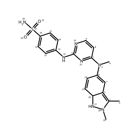 CC1=C2C=C(N(C)c3ccnc(Nc4ccc(S(N)(=O)=O)cc4)n3)C=CC2NN1C